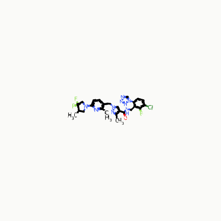 Cc1nc(N2CC(C)C(F)(F)C2)ccc1Cn1cc(C(=O)NCc2c(-n3cnnn3)ccc(Cl)c2F)c(C)n1